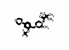 C[C@H]1CN(Cc2ccc(N3CCOCC3)cc2OC(F)(F)F)CCN1OC(=O)C(C)(C)C